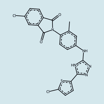 Cc1cc(Nc2nnc(-c3ccc(Cl)s3)[nH]2)ccc1N1C(=O)c2ccc(Cl)cc2C1=O